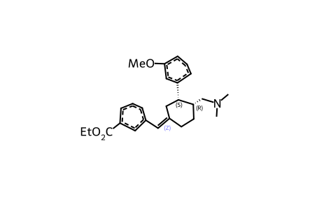 CCOC(=O)c1cccc(/C=C2/CC[C@@H](CN(C)C)[C@@H](c3cccc(OC)c3)C2)c1